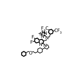 Cn1nnc(N(Cc2cc(C(F)(F)F)cc(C(F)(F)F)c2)Cc2cc3cc(F)c(F)cc3nc2N2CCCC2C2CCC(CCOCc3ccccc3)CC2)n1